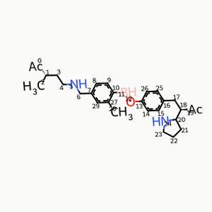 CC(=O)[C@@H](C)CCNCc1ccc(BOc2ccc(C[C@@H](C(C)=O)C3CCCN3)cc2)c(C)c1